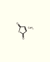 O=C1C=CC(=O)O1.[CaH2]